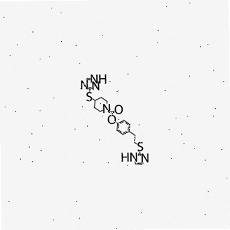 O=C(Oc1ccc(CCSc2ncc[nH]2)cc1)N1CCC(Sc2nc[nH]n2)CC1